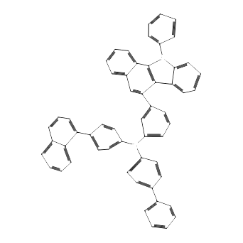 c1ccc(-c2ccc(N(c3ccc(-c4cccc5ccccc45)cc3)c3cccc(-c4cc5ccccc5c5c4c4ccccc4n5-c4ccccc4)c3)cc2)cc1